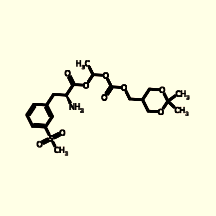 CC(OC(=O)OCC1COC(C)(C)OC1)OC(=O)[C@@H](N)Cc1cccc(S(C)(=O)=O)c1